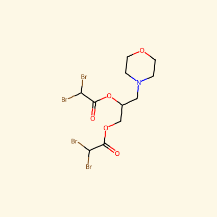 O=C(OCC(CN1CCOCC1)OC(=O)C(Br)Br)C(Br)Br